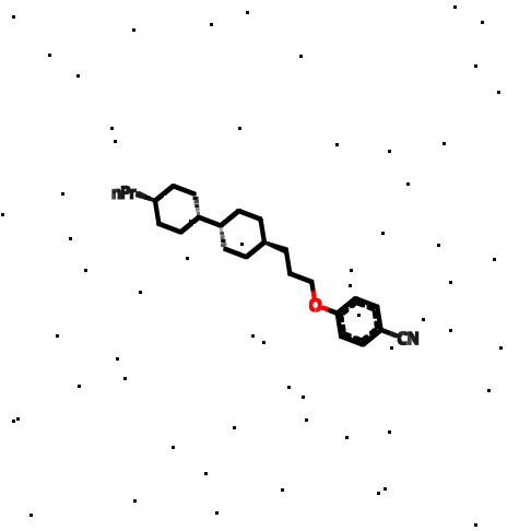 CCC[C@H]1CC[C@H]([C@H]2CC[C@H](CCCOc3ccc(C#N)cc3)CC2)CC1